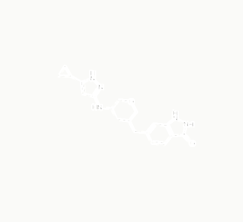 O=c1[nH][nH]c2cc(CC3COCC(Nc4cc(C5CC5)[nH]n4)C3)ccc12